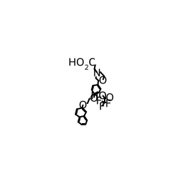 O=C(O)C(F)(F)F.O=C(O)CCN1CCOC(c2ccc(OCCOc3ccc4ccccc4c3)cc2)C1